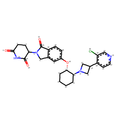 O=C1CCC(N2Cc3cc(O[C@H]4CCCC[C@@H]4N4CC(c5ccncc5Cl)C4)ccc3C2=O)C(=O)N1